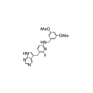 COc1cc(CNc2ccc(Cc3c[nH]c4ncncc34)c(F)n2)cc(OC)c1